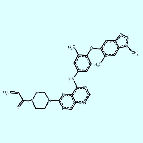 C=CC(=O)N1CCN(c2ncc3ncnc(Nc4ccc(Oc5cc6nnn(C)c6cc5C)c(C)c4)c3n2)CC1